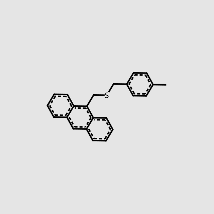 Cc1ccc(CSCc2c3ccccc3cc3ccccc23)cc1